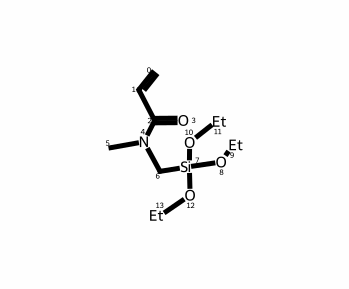 C=CC(=O)N(C)C[Si](OCC)(OCC)OCC